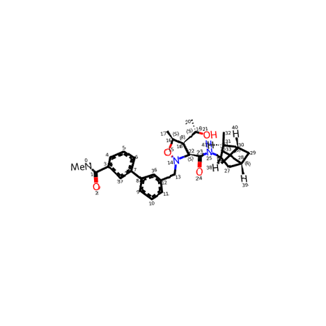 CNC(=O)c1cccc(-c2cccc(CN3O[C@@H](C)[C@@H]([C@H](C)O)[C@H]3C(=O)N[C@H]3C[C@H]4C[C@@H]([C@@H]3C)C4(C)C)c2)c1